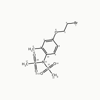 Cc1cc(OCCBr)ccc1N(S(C)(=O)=O)S(C)(=O)=O